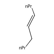 C[CH]CC=CCCCC